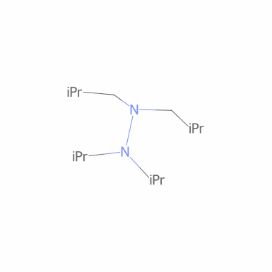 CC(C)CN(CC(C)C)N(C(C)C)C(C)C